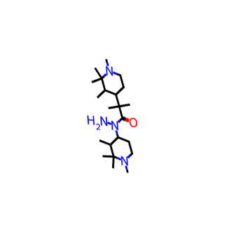 CC1C(N(N)C(=O)C(C)(C)C2CCN(C)C(C)(C)C2C)CCN(C)C1(C)C